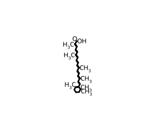 CC1=C(/C=C/C(C)=C/C=C/C(C)=C/C=C/C=C(C)/C=C/C=C(\C)C(=O)O)C(C)(C)CCC1